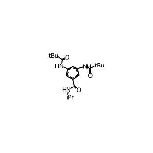 CC(C)NC(=O)c1cc(NC(=O)C(C)(C)C)cc(NC(=O)C(C)(C)C)c1